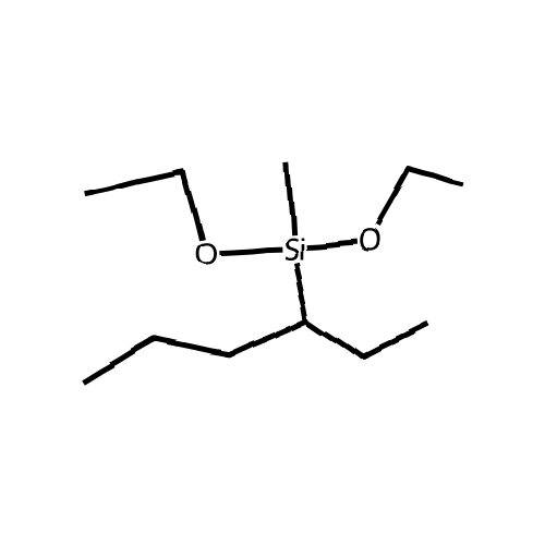 CCCC(CC)[Si](C)(OCC)OCC